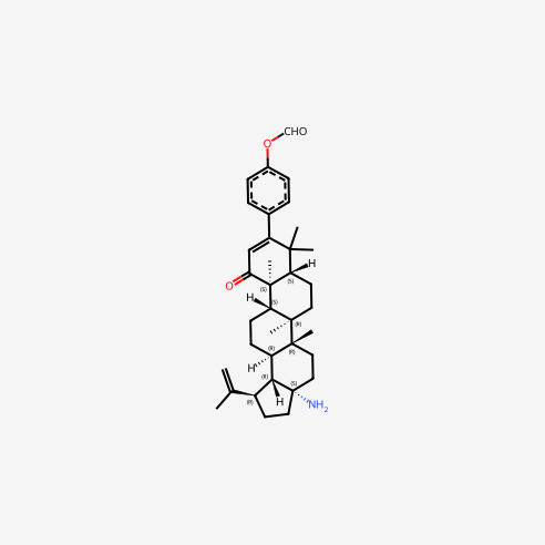 C=C(C)[C@@H]1CC[C@]2(N)CC[C@]3(C)[C@H](CC[C@@H]4[C@@]5(C)C(=O)C=C(c6ccc(OC=O)cc6)C(C)(C)[C@@H]5CC[C@]43C)[C@@H]12